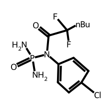 CCCCC(F)(F)C(=O)N(c1ccc(Cl)cc1)P(N)(N)=O